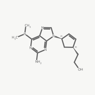 CN(C)c1nc(N)nc2c1ncn2[C@H]1C=C[C@@H](CCO)C1